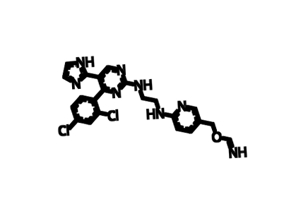 N=COCc1ccc(NCCNc2ncc(-c3ncc[nH]3)c(-c3ccc(Cl)cc3Cl)n2)nc1